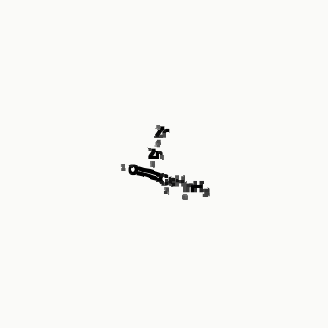 [InH3].[O]=[GaH].[Zn].[Zr]